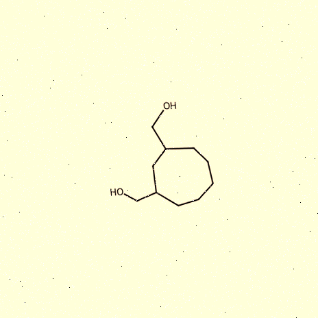 OCC1CCCCCC(CO)C1